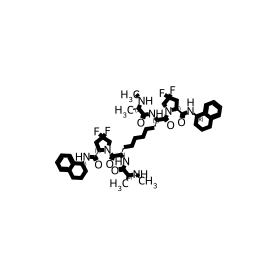 CN[C@@H](C)C(=O)N[C@@H](CCCCCC[C@H](NC(=O)[C@H](C)NC)C(=O)N1CC(F)(F)C[C@H]1C(=O)N[C@@H]1CCCc2ccccc21)C(=O)N1CC(F)(F)C[C@H]1C(=O)N[C@@H]1CCCc2ccccc21